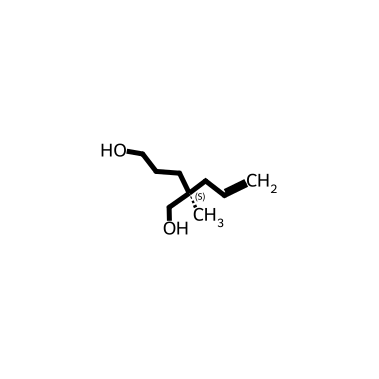 C=CC[C@@](C)(CO)CCCO